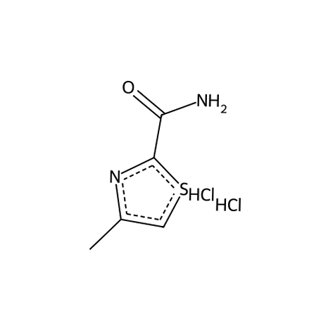 Cc1csc(C(N)=O)n1.Cl.Cl